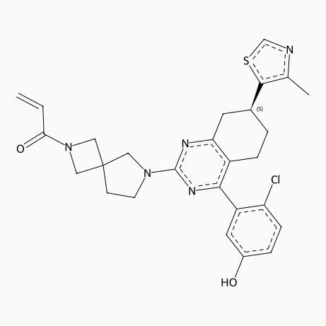 C=CC(=O)N1CC2(CCN(c3nc4c(c(-c5cc(O)ccc5Cl)n3)CC[C@H](c3scnc3C)C4)C2)C1